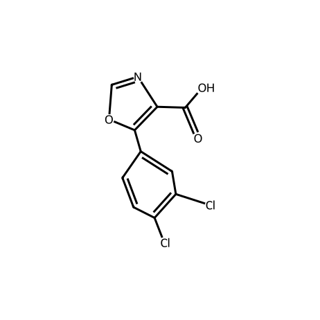 O=C(O)c1ncoc1-c1ccc(Cl)c(Cl)c1